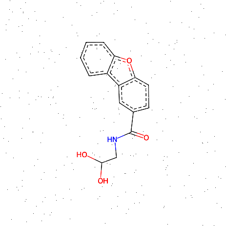 O=C(NCC(O)O)c1ccc2oc3ccccc3c2c1